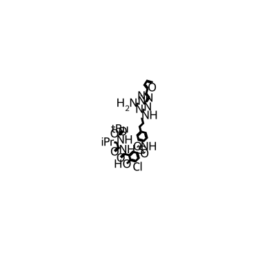 CC(C)C(NC(=O)OC(C)(C)C)C(=O)NC(=O)c1cc(S(=O)(=O)Nc2ccc(CCCNc3nc(N)n4nc(-c5ccco5)nc4n3)cc2)cc(Cl)c1O